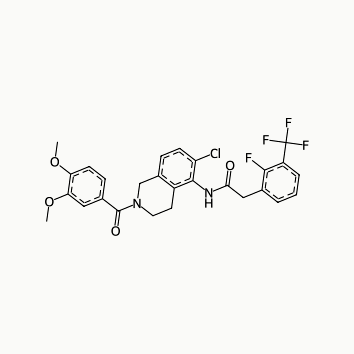 COc1ccc(C(=O)N2CCc3c(ccc(Cl)c3NC(=O)Cc3cccc(C(F)(F)F)c3F)C2)cc1OC